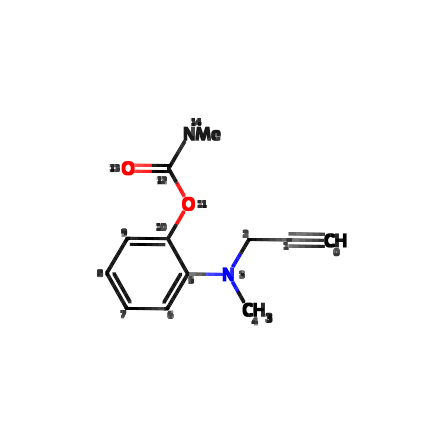 C#CCN(C)c1ccccc1OC(=O)NC